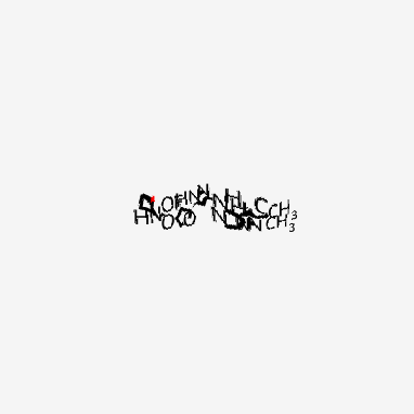 CC(C)(C)c1cc2c(Nc3cc([C@@H]4OC[C@H](OC(=O)NC56CC(C5)C6)[C@@H]4F)[nH]n3)nccn2n1